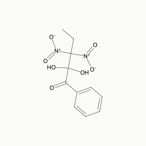 CCC([N+](=O)[O-])([N+](=O)[O-])C(O)(O)C(=O)c1ccccc1